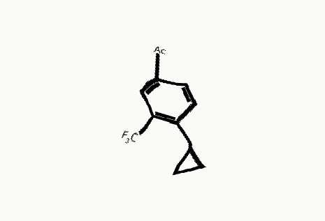 CC(=O)c1ccc(C2CC2)c(C(F)(F)F)c1